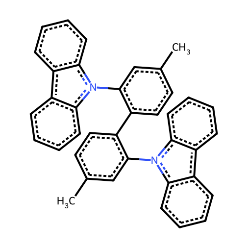 Cc1ccc(-c2ccc(C)cc2-n2c3ccccc3c3ccccc32)c(-n2c3ccccc3c3ccccc32)c1